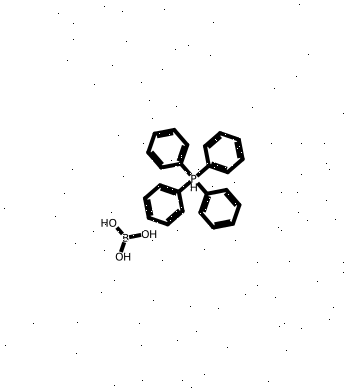 OB(O)O.c1ccc([PH](c2ccccc2)(c2ccccc2)c2ccccc2)cc1